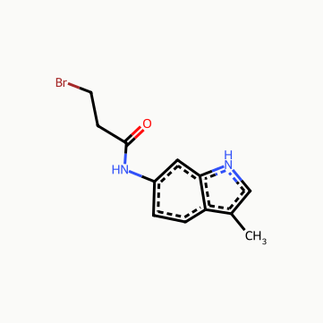 Cc1c[nH]c2cc(NC(=O)CCBr)ccc12